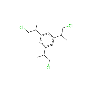 CC(CCl)c1cc(C(C)CCl)cc(C(C)CCl)c1